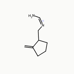 C=C1CCCC1C/N=C\N